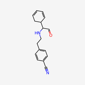 N#Cc1ccc(CCNC(C=O)C2C=CC=CC2)cc1